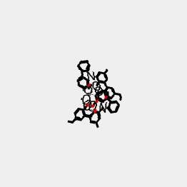 CCc1ccc(O[C@@H](C)C[C@H](C)Oc2ccc(CC)cc2-c2cc(C)cc(-n3c4ccccc4c4ccccc43)c2OCOC)c(-c2cc(C)cc(-n3c4ccccc4c4ccccc43)c2OCOC)c1